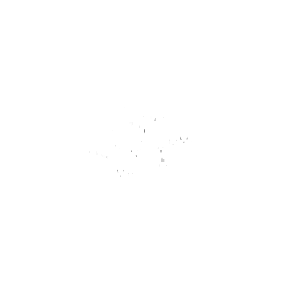 COC(=O)[C@H](CCC(=O)O)N[C@@H](CC(C)C)C(=O)OC